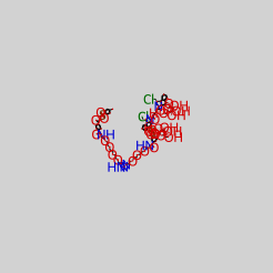 Cc1ccc(S(=O)(=O)CCC(=O)c2ccc(C(=O)NCCOCCOCCOCCOCC3=CN(CCOCCOCCOCCNC(=O)c4ccc(O[C@@H]5O[C@H](CO)[C@H](O)[C@H](O)[C@H]5O)c(OS(=O)(=O)Oc5cc6c(c7ccccc57)[C@H](CCl)CN6C(=O)CCCC(=O)N5C[C@@H](CCl)c6c5cc(O[C@@H]5O[C@H](CO)[C@H](O)[C@H](O)[C@H]5O)c5ccccc65)c4)N(C)N3)cc2)cc1